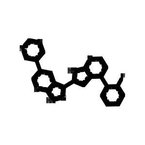 Fc1ccccc1-c1ccnc2[nH]c(-c3n[nH]c4ncc(-c5cncnc5)cc34)cc12